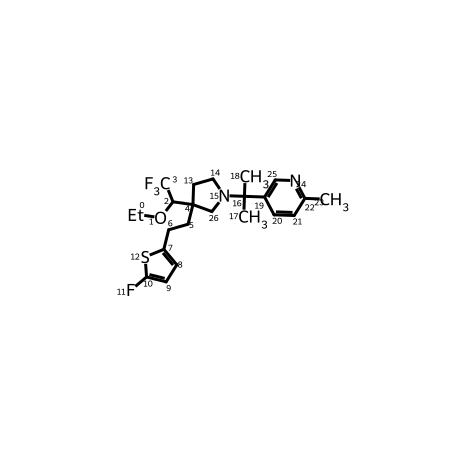 CCOC(C(F)(F)F)C1(CCc2ccc(F)s2)CCN(C(C)(C)c2ccc(C)nc2)C1